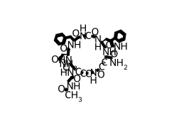 CC(=O)NCC(=O)NC1CCCNC(=O)CCC(C(N)=O)NC(=O)[C@H](Cc2c[nH]c3ccccc23)NC(=O)CNC(=O)C(Cc2ccccc2)NC(=O)[C@H](CC(N)=O)NC1=O